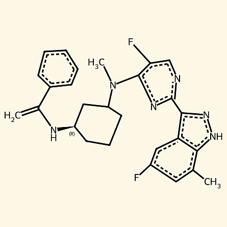 C=C(N[C@@H]1CCCC(N(C)c2nc(-c3n[nH]c4c(C)cc(F)cc34)ncc2F)C1)c1ccccc1